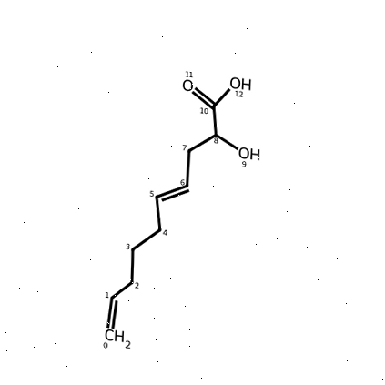 C=CCCC/C=C/CC(O)C(=O)O